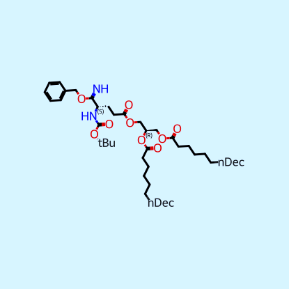 CCCCCCCCCCCCCCCC(=O)OC[C@H](COC(=O)CC[C@H](NC(=O)OC(C)(C)C)C(=N)OCc1ccccc1)OC(=O)CCCCCCCCCCCCCCC